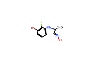 O=CC(/C=N/O)Nc1cccc(Br)c1F